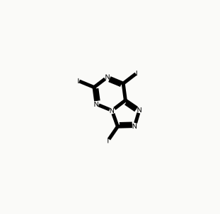 Ic1nc(I)c2nnc(I)n2n1